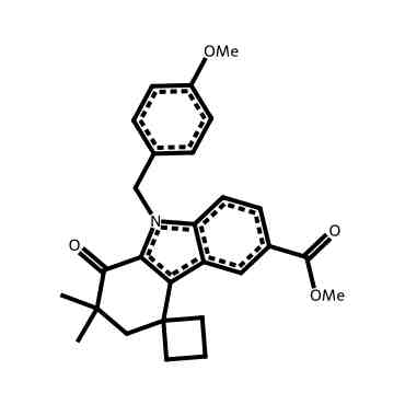 COC(=O)c1ccc2c(c1)c1c(n2Cc2ccc(OC)cc2)C(=O)C(C)(C)CC12CCC2